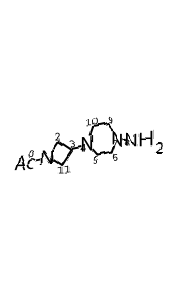 CC(=O)N1CC(N2CCN(N)CC2)C1